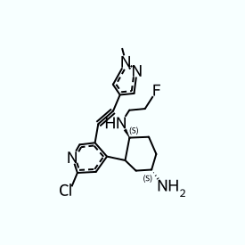 Cn1cc(C#Cc2cnc(Cl)cc2C2C[C@@H](N)CC[C@@H]2NCCF)cn1